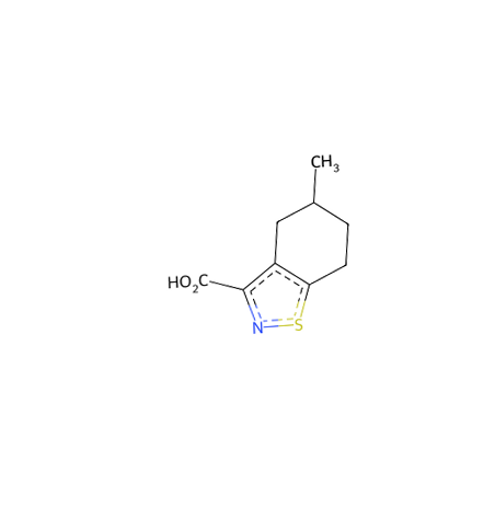 CC1CCc2snc(C(=O)O)c2C1